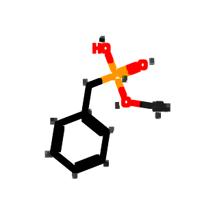 CC(C)(C)OP(=O)(O)Cc1ccccc1